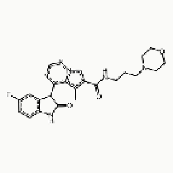 Cc1c(C(=O)NCCCN2CCOCC2)cn2ncnc(C3C(=O)Nc4ccc(F)cc43)c12